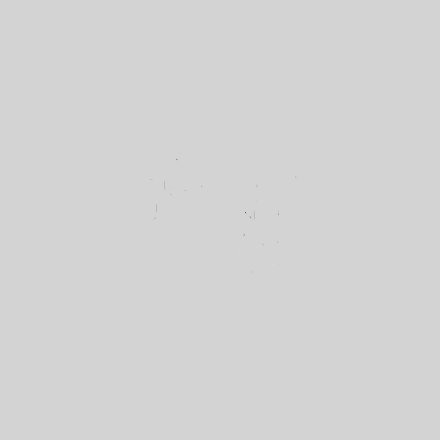 C1=C([NH+](c2ccccc2)c2ccccc2)CCC1.F[B-](F)(F)F